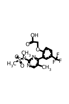 Cc1cnc(N(C)S(C)(=O)=O)nc1-c1cc(C(F)(F)F)ccc1OCC(=O)O